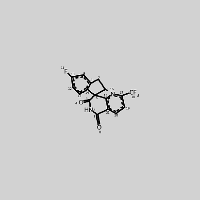 O=C1NC(=O)C2(CCc3cc(F)ccc32)c2nc(C(F)(F)F)ccc21